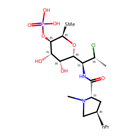 CCC[C@@H]1C[C@@H](C(=O)N[C@@H]([C@H]2O[C@H](SC)[C@H](OP(=O)(O)O)[C@@H](O)[C@H]2O)[C@@H](C)Cl)N(C)C1